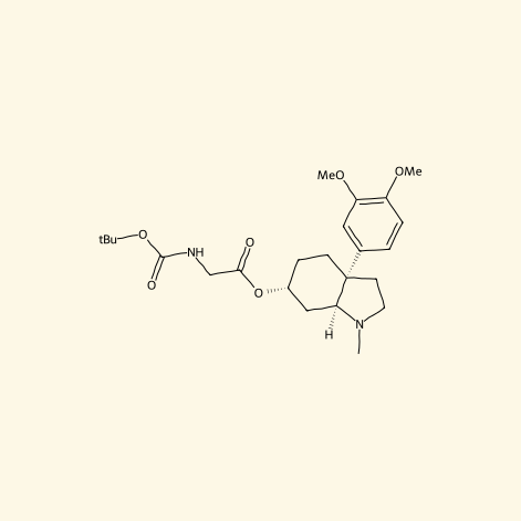 COc1ccc([C@@]23CC[C@@H](OC(=O)CNC(=O)OC(C)(C)C)C[C@@H]2N(C)CC3)cc1OC